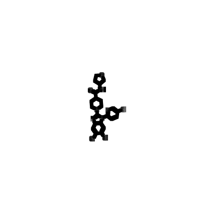 O=C(NC1CCOC1)C1CCN(c2nc3cc(Cl)c(Cl)cc3n2-c2ccc(Cl)cn2)CC1